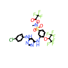 CN(OC(=O)C(F)(F)F)S(=O)(=O)c1ccc(OC(C(F)(F)F)C(F)(F)F)c(Nc2cc(Nc3ccc(Cl)cc3)ncn2)c1